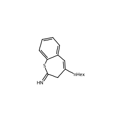 CCCCCCC1=Cc2ccccc2SC(=N)C1